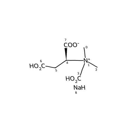 C[N+](C)(C(=O)O)[C@@H](CC(=O)O)C(=O)[O-].[NaH]